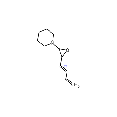 C=C/C=C/C1OC1N1CCCCC1